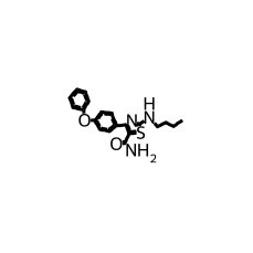 CCCCNc1nc(-c2ccc(Oc3ccccc3)cc2)c(C(N)=O)s1